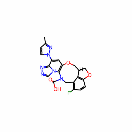 Cc1ccn(-c2cc3c(n4cnnc24)N(C(=O)O)Cc2c(F)ccc4c2[C@@H](CO4)CO3)n1